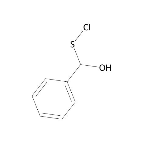 OC(SCl)c1ccccc1